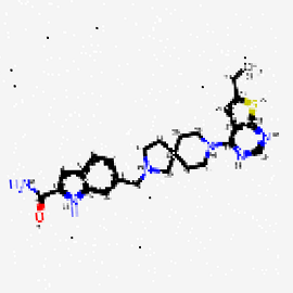 NC(=O)c1cc2ccc(CN3CCC4(CCN(c5ncnc6sc(CC(F)(F)F)cc56)CC4)C3)cc2[nH]1